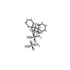 CC(C)(C1(O)CCCCC1)C1(O)CCCCC1.CS(=O)(=O)O.CS(=O)(=O)O